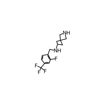 Fc1cc(C(F)(F)F)ccc1CNC1CC2(CNC2)C1